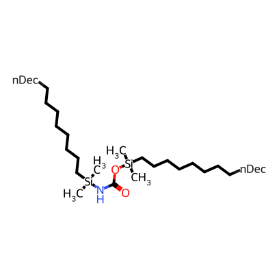 CCCCCCCCCCCCCCCCCC[Si](C)(C)NC(=O)O[Si](C)(C)CCCCCCCCCCCCCCCCCC